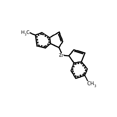 Cc1ccc2c(c1)C=C[CH]2[Zr][CH]1C=Cc2cc(C)ccc21